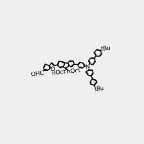 CCCCCCCCC1(CCCCCCCC)c2cc(-c3ccc(N(c4ccc(-c5ccc(C(C)(C)C)cc5)cc4)c4ccc(-c5ccc(C(C)(C)C)cc5)cc4)cc3)ccc2-c2ccc(-c3cc4ccc(C=O)cc4o3)cc21